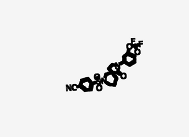 N#Cc1ccc(S(=O)(=O)N2CCCC3(CCN(c4ccc5c(c4)OC(F)(F)O5)C3=O)C2)cc1